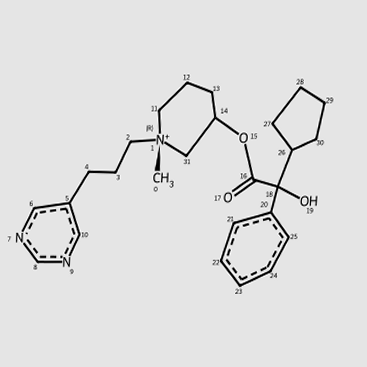 C[N@@+]1(CCCc2cncnc2)CCCC(OC(=O)C(O)(c2ccccc2)C2CCCC2)C1